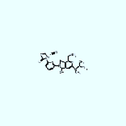 C#C[C@H]1COC(=O)N1c1cccc(N2Cc3c(cc(N(C)C(C)C)nc3CN)C2O)n1